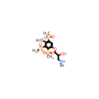 CC(=O)Oc1c(S(C)(=O)=O)cc(OCC(O)CNC(C)C)c(S(C)(=O)=O)c1S(C)(=O)=O